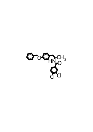 C[C@@H](Cc1ccc(OCc2ccccc2)cc1)NC(=O)c1ccc(Cl)c(Cl)c1